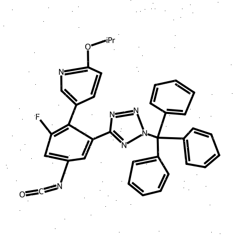 CC(C)Oc1ccc(-c2c(F)cc(N=C=O)cc2-c2nnn(C(c3ccccc3)(c3ccccc3)c3ccccc3)n2)cn1